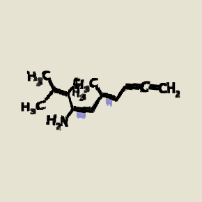 C=C=C/C=C(C)/C=C(/N)C(C)=C(C)C